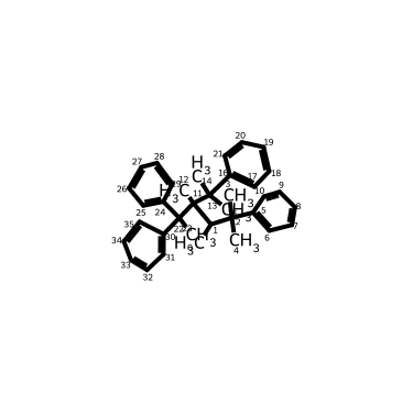 CC(C(C)(C)c1ccccc1)C(C)(C(C)(C)c1ccccc1)C(C)(c1ccccc1)c1ccccc1